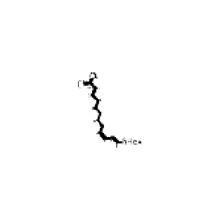 CCCCCC/C=C/C=C\CCCCCCCC(=O)Cl